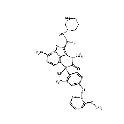 COc1ccccc1Oc1ccc(C2(N)C(=O)C(N)c3c(C(=O)NC4CCCNC4)sc4c(N)ccc2c34)c(C)c1